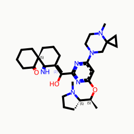 C[C@H](Oc1cc(N2CCN(C)C3(CC3)C2)nc(/C(O)=C2\CCC[C@@]3(CCCCC3=O)C2=N)n1)[C@@H]1CCCN1C